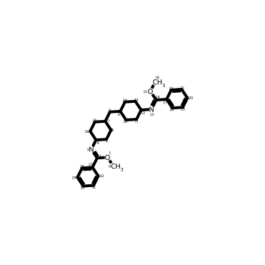 CO/C(=N\C1CCC(CC2CCC(/N=C(\OC)c3ccccc3)CC2)CC1)c1ccccc1